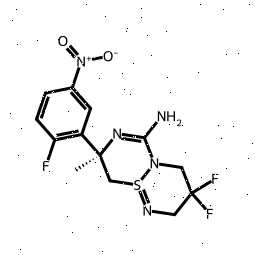 C[C@@]1(c2cc([N+](=O)[O-])ccc2F)CS2=NCC(F)(F)CN2C(N)=N1